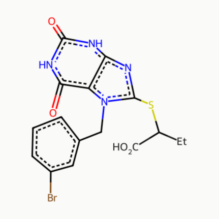 CCC(Sc1nc2[nH]c(=O)[nH]c(=O)c2n1Cc1cccc(Br)c1)C(=O)O